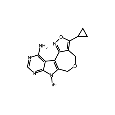 CC(C)n1c2c(c3c(N)ncnc31)-c1noc(C3CC3)c1COC2